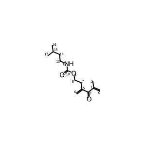 C=C(C)C(=O)C(=C)CCOC(=O)NCCC(C)C